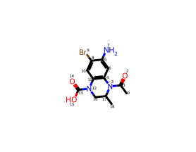 CC(=O)N1c2cc(N)c(Br)cc2N(C(=O)O)CC1C